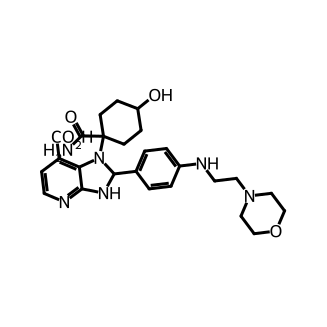 NC(=O)C1(N2c3c(C(=O)O)ccnc3NC2c2ccc(NCCN3CCOCC3)cc2)CCC(O)CC1